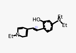 CCN1C=CC(/C=C/c2ccc(N(CC)CC)cc2O)=CC1